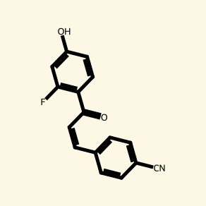 N#Cc1ccc(/C=C\C(=O)c2ccc(O)cc2F)cc1